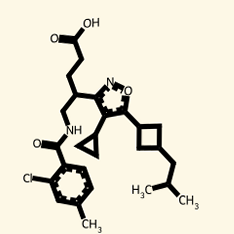 Cc1ccc(C(=O)NCC(CCC(=O)O)c2noc(C3CC(CC(C)C)C3)c2C2CC2)c(Cl)c1